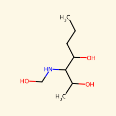 CCCC(O)C(NCO)C(C)O